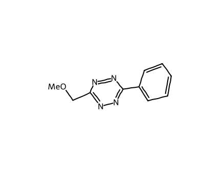 COCc1nnc(-c2ccccc2)nn1